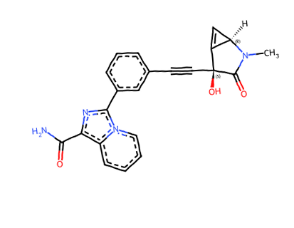 CN1C(=O)[C@](O)(C#Cc2cccc(-c3nc(C(N)=O)c4ccccn34)c2)C2=C[C@H]21